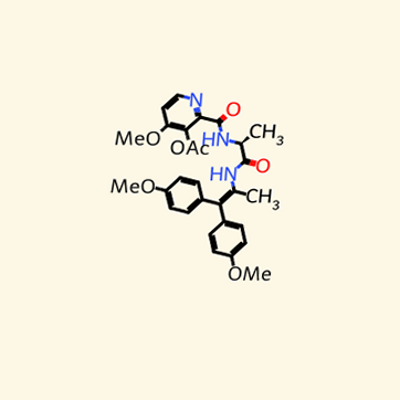 COc1ccc(C(=C(C)NC(=O)[C@H](C)NC(=O)c2nccc(OC)c2OC(C)=O)c2ccc(OC)cc2)cc1